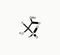 COC(=O)C(C)(F)S(=O)(=O)F